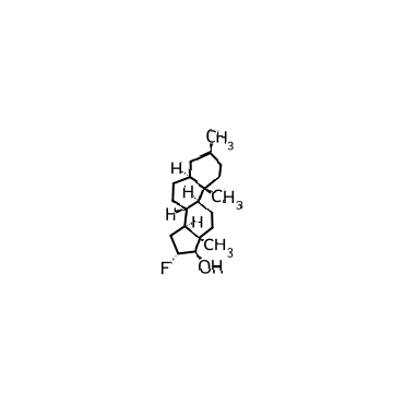 C[C@H]1CC[C@@]2(C)[C@@H](CC[C@@H]3[C@@H]2CC[C@]2(C)[C@@H](O)[C@H](F)C[C@@H]32)C1